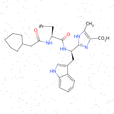 Cc1[nH]c([C@@H](Cc2c[nH]c3ccccc23)NC(=O)[C@H](CC(C)C)NC(=O)CC2CCCCC2)nc1C(=O)O